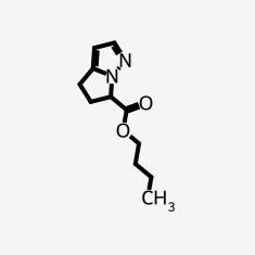 CCCCOC(=O)C1CCc2ccnn21